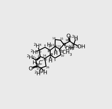 [2H]C1=C2C([2H])([2H])C[C@@H]3[C@H](CC[C@@]4(C)[C@H]3CC[C@]4(O)C(=O)C([2H])([2H])O)[C@@]2(C)CC([2H])([2H])C1=O